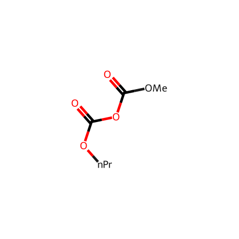 CCCOC(=O)OC(=O)OC